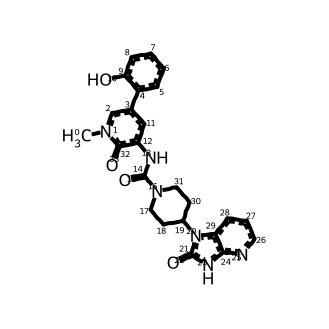 Cn1cc(-c2ccccc2O)cc(NC(=O)N2CCC(n3c(=O)[nH]c4ncccc43)CC2)c1=O